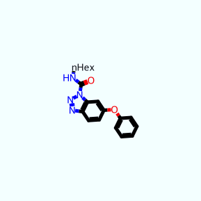 CCCCCCNC(=O)n1nnc2ccc(Oc3ccccc3)cc21